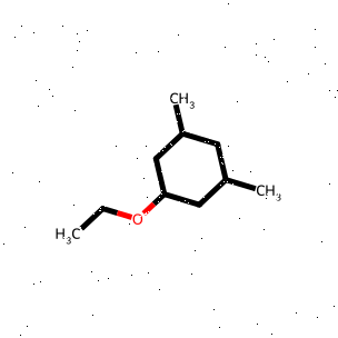 CCOC1CC(C)CC(C)C1